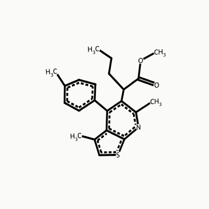 CCCC(C(=O)OC)c1c(C)nc2scc(C)c2c1-c1ccc(C)cc1